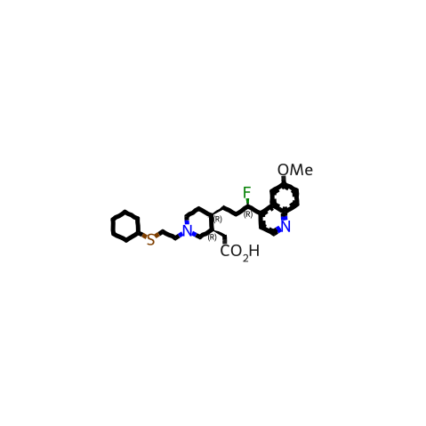 COc1ccc2nccc([C@H](F)CC[C@@H]3CCN(CCSC4CCCCC4)C[C@@H]3CC(=O)O)c2c1